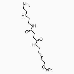 CCCOCCOCCNC(=O)CCC(=O)NCCNCCN